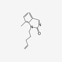 C=CCCCn1c(=O)ncc2cccc(C)c21